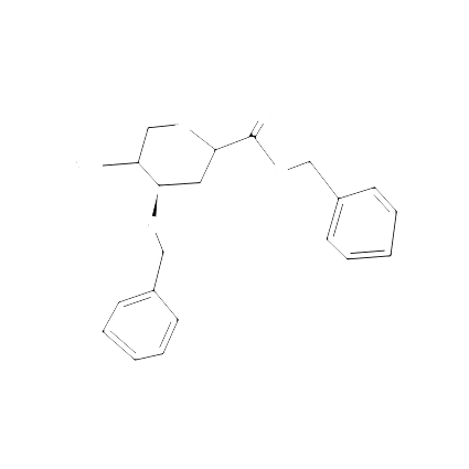 CC(=O)OC1COC(C(=O)OCc2ccccc2)C[C@H]1OCc1ccccc1